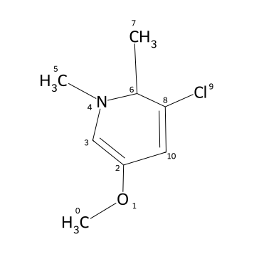 COC1=CN(C)C(C)C(Cl)=C1